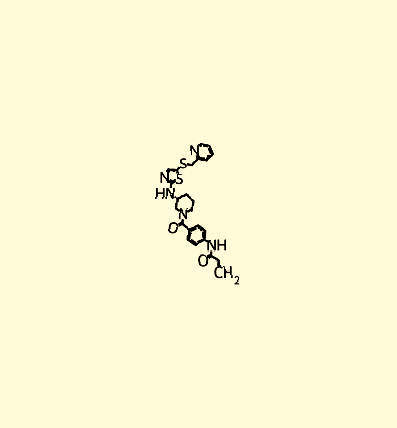 C=CC(=O)Nc1ccc(C(=O)N2CCC[C@@H](Nc3ncc(SCc4ccccn4)s3)C2)cc1